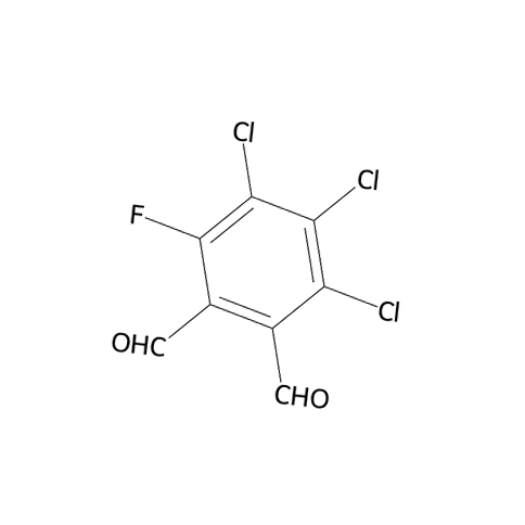 O=Cc1c(F)c(Cl)c(Cl)c(Cl)c1C=O